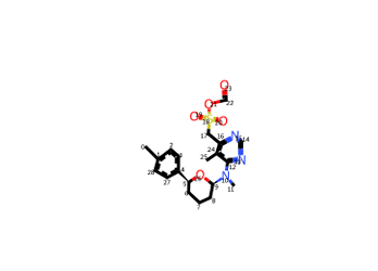 Cc1ccc([C@@H]2CCC[C@H](N(C)c3ncnc(CS(=O)(=O)OC=O)c3C)O2)cc1